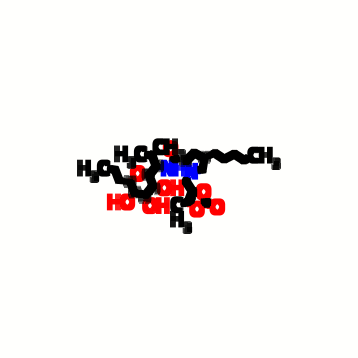 CCCCC[C@@H]1C[C@@H](C(=O)N[C@H](C(C)C)[C@H]2O[C@H](CCC)[C@H](O)[C@@H](O)[C@H]2O)N(Cc2oc(=O)oc2C)C1